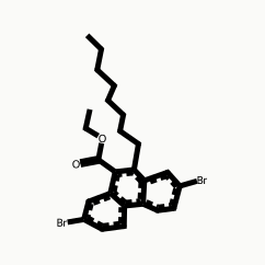 CCCCCCCCc1c(C(=O)OCC)c2cc(Br)ccc2c2ccc(Br)cc12